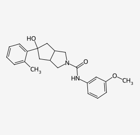 COc1cccc(NC(=O)N2CC3CC(O)(c4ccccc4C)CC3C2)c1